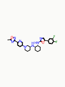 Cc1nc(-c2ccc(N3CCC[C@H](N[C@@H]4CCCC[C@H]4Nc4ncc(-c5ccc(F)c(F)c5)o4)C3)cn2)no1